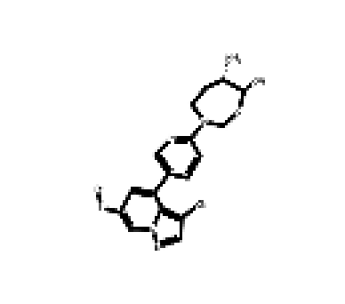 CCOc1cc(-c2ccc(N3CC[C@H](N)[C@@H](O)SC3)nc2)c2c(C#N)cnn2c1